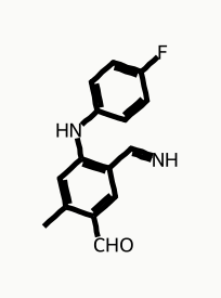 Cc1cc(Nc2ccc(F)cc2)c(C=N)cc1C=O